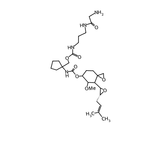 COC1C(OC(=O)NC2(COC(=O)NCCCNC(=O)CN)CCCC2)CCC2(CO2)C1C1O[C@@H]1CC=C(C)C